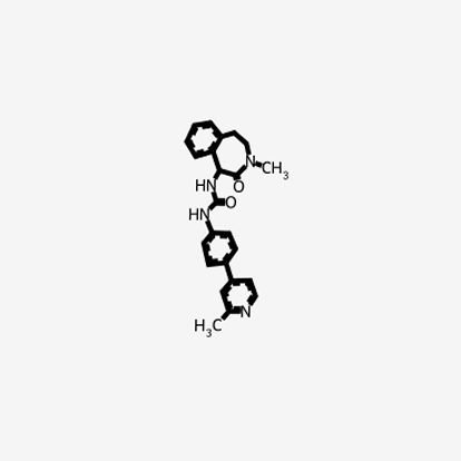 Cc1cc(-c2ccc(NC(=O)NC3C(=O)N(C)CCc4ccccc43)cc2)ccn1